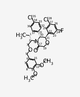 CC[C@@H](COCc1ccc(OC)c(OC)c1)N1C(=O)CO[C@H](c2cc(F)cc(Cl)c2)[C@H]1c1ccc(Cl)cc1